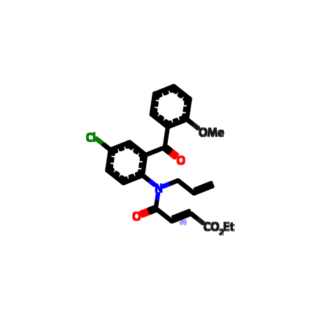 C=CCN(C(=O)/C=C/C(=O)OCC)c1ccc(Cl)cc1C(=O)c1ccccc1OC